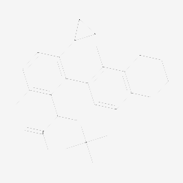 Cc1ccc(C2CC2)c(-c2ccc3c(c2C)CCCO3)c1C(OC(C)(C)C)C(=O)O